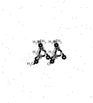 CCc1ccc2c(c1)CCN(S(=O)(=O)N1CCCN(CC3CCCC(C4CN(S(=O)(=O)N5CCCN(CC6=CCCCC6)CCCN(S(=O)(=O)c6ccc(N(C)C)cc6)C[C@H](C)C5)Cc5ccc(Cl)cc54)C3)CCCN(S(=O)(=O)c3ccc(N(C)C)cc3)C[C@H](C)C1)C2